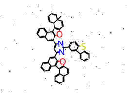 CC12C=CC=CC1c1c(oc3c(-c4cc(-c5cc6ccccc6c6c5oc5ccc7ccccc7c56)nc(-c5ccc6sc7ccccc7c6c5)n4)cc4ccccc4c13)C=C2